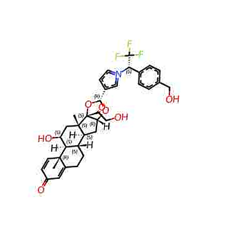 C[C@]12C=CC(=O)C=C1CC[C@@H]1[C@@H]2[C@@H](O)C[C@@]2(C)[C@H]1C[C@H]1O[C@@H](c3ccn([C@@H](c4ccc(CO)cc4)C(F)(F)F)c3)O[C@]12C(=O)CO